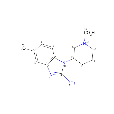 Cc1ccc2c(c1)nc(N)n2C1CCCN(C(=O)O)C1